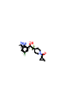 O=C(C1CC1)N1CCC(C(F)(F)C(O)c2cc(Cl)cc3cn[nH]c23)CC1